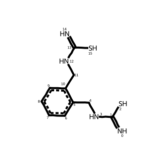 N=C(S)NCc1ccccc1CNC(=N)S